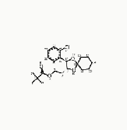 CC(C)(C)C(=O)OCC[C@H]1OC2(CCCCC2)O[C@@H]1c1ccccc1Cl